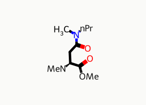 CCCN(C)C(=O)C[C@H](NC)C(=O)OC